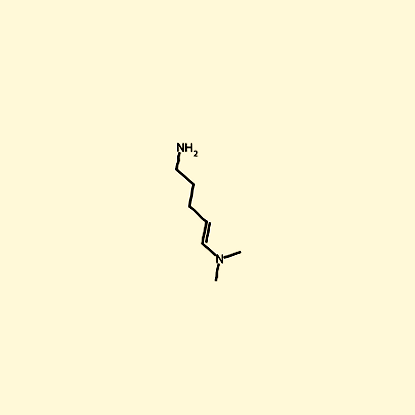 CN(C)C=CCCCN